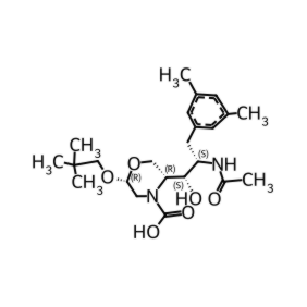 CC(=O)N[C@@H](Cc1cc(C)cc(C)c1)[C@H](O)[C@H]1CO[C@@H](OCC(C)(C)C)CN1C(=O)O